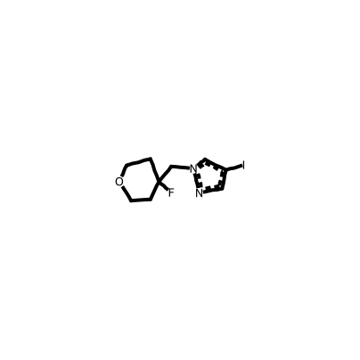 FC1(Cn2cc(I)cn2)CCOCC1